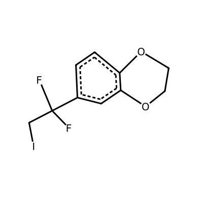 FC(F)(CI)c1ccc2c(c1)OCCO2